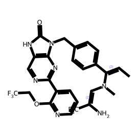 C/C=C(/c1ccc(Cn2c(=O)[nH]c3cnc(-c4cccnc4OCC(F)(F)F)nc32)cc1)N(C)/C=C(\N)C(F)(F)F